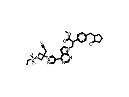 CCS(=O)(=O)N1CC(CC#N)(n2cc(-c3ncnc4c3ccn4CC(C(=O)OC)c3ccc(CC4CCCC4=O)cc3)cn2)C1